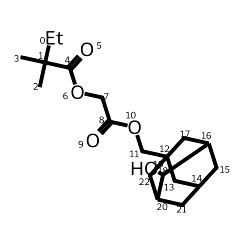 CCC(C)(C)C(=O)OCC(=O)OCC12CC3CC(C1)C(O)C(C3)C2